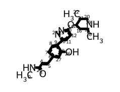 CNC(=O)/C=C/c1ccc(-c2ccc(O[C@@H]3CC(C)NCC3C)nn2)c(O)c1